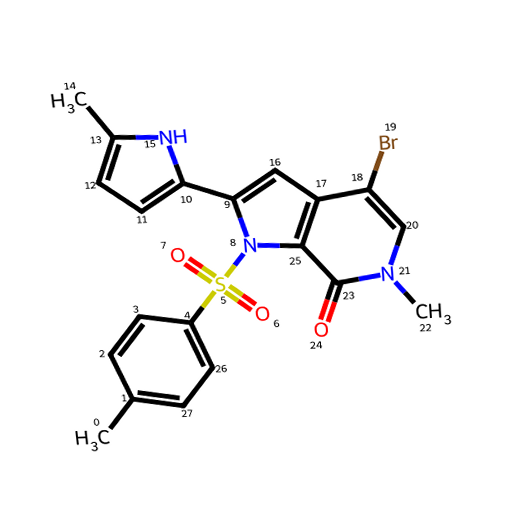 Cc1ccc(S(=O)(=O)n2c(-c3ccc(C)[nH]3)cc3c(Br)cn(C)c(=O)c32)cc1